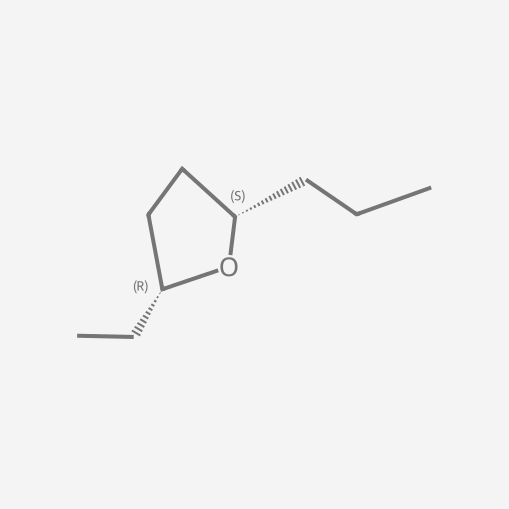 CCC[C@H]1CC[C@@H](CC)O1